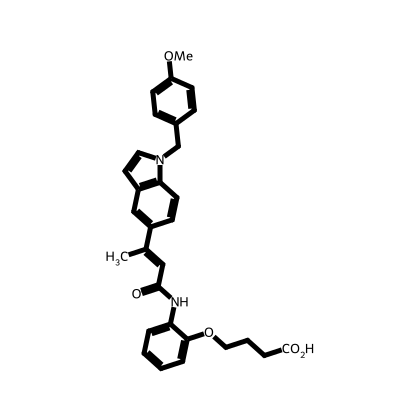 COc1ccc(Cn2ccc3cc(C(C)=CC(=O)Nc4ccccc4OCCCC(=O)O)ccc32)cc1